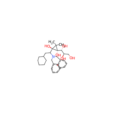 CC1(C)[C@@](O)(C(CC2CCCCC2)N(Cc2ccccc2)Cc2ccccc2)[C@]1(O)[C@H](O)[C@H](O)CO